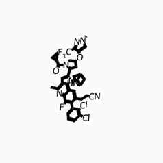 Cc1nc2c(F)c(-c3cccc(Cl)c3Cl)c(CCC#N)cc2c2c1cc(C1CC(Oc3cn(C)nc3C(F)(F)F)CN1C(=O)C1CC1)n2C1C2CNC1C2